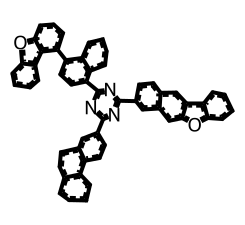 c1ccc2c(c1)ccc1cc(-c3nc(-c4ccc5cc6c(cc5c4)oc4ccccc46)nc(-c4ccc(-c5cccc6oc7ccccc7c56)c5ccccc45)n3)ccc12